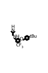 CC(C)(C)c1ccc(COc2cc(CNCC3CNC3)cc(C(F)(F)F)c2)cc1